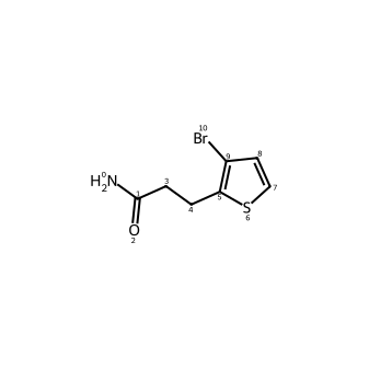 NC(=O)CCc1sccc1Br